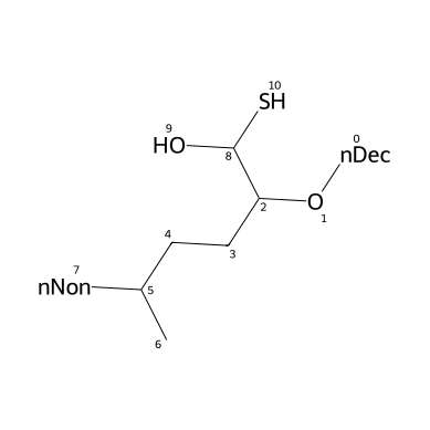 CCCCCCCCCCOC(CCC(C)CCCCCCCCC)C(O)S